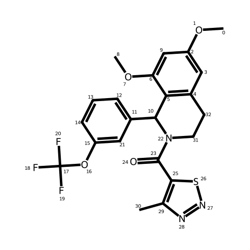 COc1cc2c(c(OC)c1)C(c1cccc(OC(F)(F)F)c1)N(C(=O)c1snnc1C)CC2